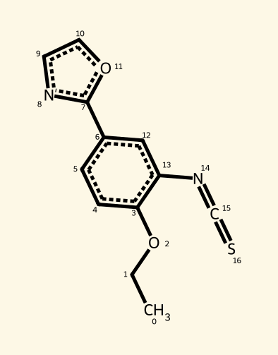 CCOc1ccc(-c2ncco2)cc1N=C=S